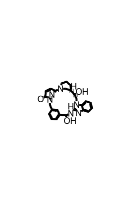 O=c1ccc2nn1Cc1cccc(c1)C(O)Nc1nc3ccccc3n1C[C@H](O)[C@H]1CCCN2C1